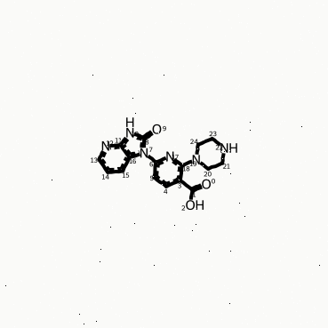 O=C(O)c1ccc(-n2c(=O)[nH]c3ncccc32)nc1N1CCNCC1